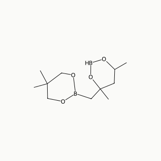 CC1CC(C)(CB2OCC(C)(C)CO2)OBO1